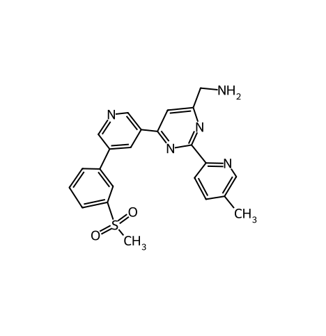 Cc1ccc(-c2nc(CN)cc(-c3cncc(-c4cccc(S(C)(=O)=O)c4)c3)n2)nc1